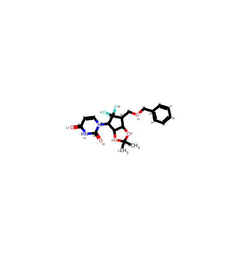 CC1(C)OC2C(O1)C(n1ccc(=O)[nH]c1=O)C(F)(F)C2COCc1ccccc1